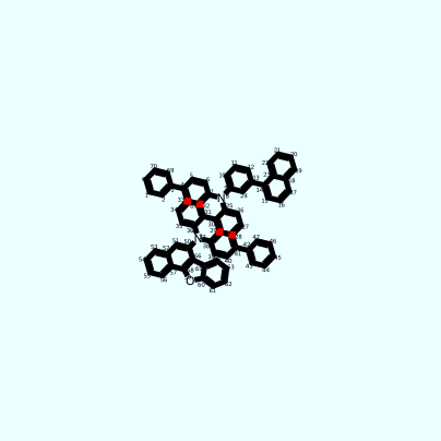 c1ccc(-c2ccc(N(c3cccc(-c4cccc5ccccc45)c3)c3ccccc3-c3ccccc3N(c3ccc(-c4ccccc4)cc3)c3cc4ccccc4c4oc5ccccc5c34)cc2)cc1